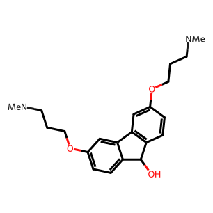 CNCCCOc1ccc2c(c1)-c1cc(OCCCNC)ccc1C2O